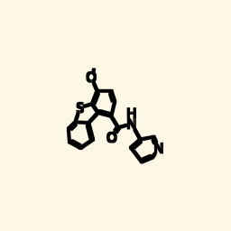 COc1ccc(C(=O)Nc2cccnc2)c2c1sc1ccccc12